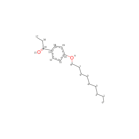 CCCCCCCCCOc1ccc(C(=O)CC)cc1